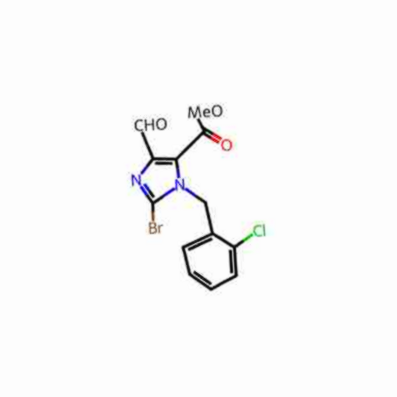 COC(=O)c1c(C=O)nc(Br)n1Cc1ccccc1Cl